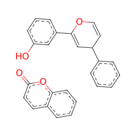 O=c1ccc2ccccc2o1.Oc1cccc(C2=CC(c3ccccc3)C=CO2)c1